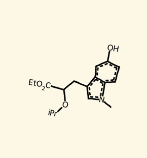 CCOC(=O)C(Cc1cn(C)c2ccc(O)cc12)OC(C)C